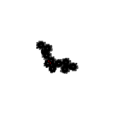 c1ccc(-c2ccccc2N(c2ccc(-c3ccc4oc5c(-c6ccccc6)cccc5c4c3)cc2)c2ccc(-c3cccc4c3c3ccccc3n4-c3ccccc3)cc2)cc1